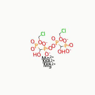 O=P([O-])([O-])C(O)P(=O)([O-])OCCl.O=P([O-])([O-])C(O)P(=O)([O-])OCCl.[Mg+2].[Mg+2].[Mg+2]